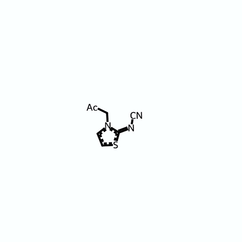 CC(=O)Cn1ccs/c1=N/C#N